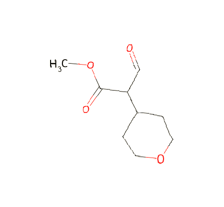 COC(=O)C(C=O)C1CCOCC1